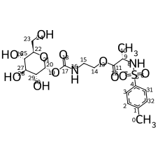 Cc1ccc(S(=O)(=O)N[C@@H](C)C(=O)OCCNC(=O)O[C@H]2O[C@H](CO)[C@@H](O)[C@H](O)[C@H]2O)cc1